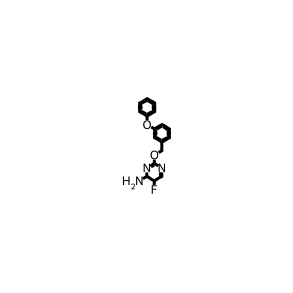 NC1N=C(OCc2cccc(Oc3ccccc3)c2)N=CC1F